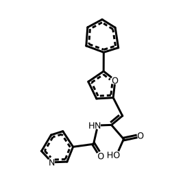 O=C(O)/C(=C/c1ccc(-c2ccccc2)o1)NC(=O)c1cccnc1